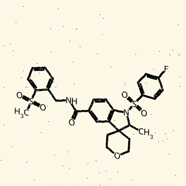 CC1N(S(=O)(=O)c2ccc(F)cc2)c2ccc(C(=O)NCc3ccccc3S(C)(=O)=O)cc2C12CCOCC2